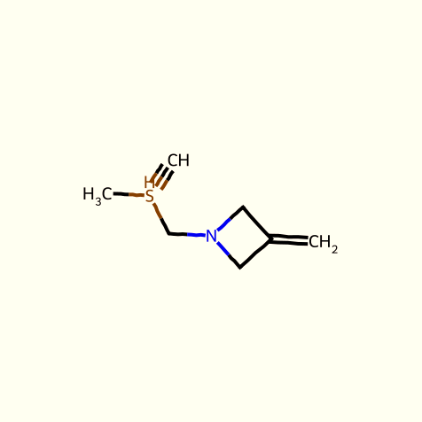 C#[SH](C)CN1CC(=C)C1